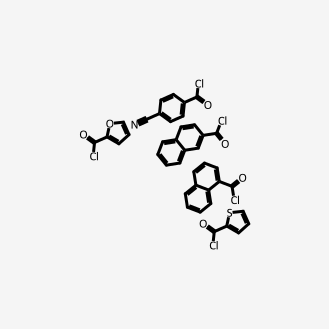 N#Cc1ccc(C(=O)Cl)cc1.O=C(Cl)c1ccc2ccccc2c1.O=C(Cl)c1cccc2ccccc12.O=C(Cl)c1ccco1.O=C(Cl)c1cccs1